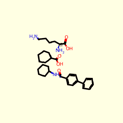 NC1CCCCC1.NCCCC[C@H](N)C(=O)O.O=C(O)C1CCCCC1.O=Cc1ccc(-c2ccccc2)cc1